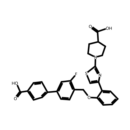 O=C(O)c1ccc(-c2ccc(COc3ccccc3-c3csc(N4CCC(C(=O)O)CC4)n3)c(F)c2)cc1